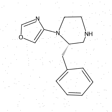 c1ccc(C[C@H]2CNCCN2c2cocn2)cc1